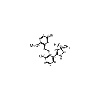 COc1ccc(Br)cc1CCc1c(Cl)cccc1C1=NC(C)(C)CN1